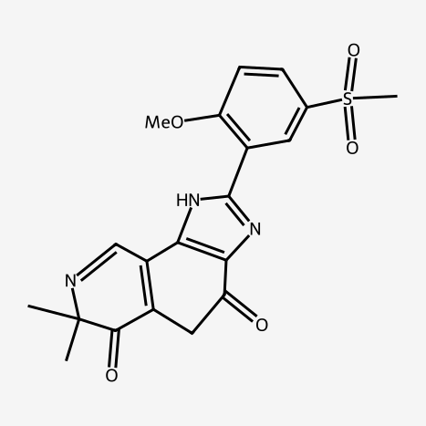 COc1ccc(S(C)(=O)=O)cc1-c1nc2c([nH]1)C1=C(CC2=O)C(=O)C(C)(C)N=C1